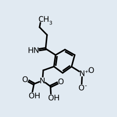 CCCC(=N)c1ccc([N+](=O)[O-])cc1CN(C(=O)O)C(=O)O